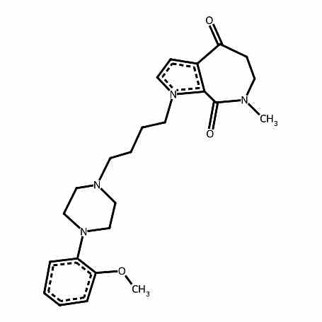 COc1ccccc1N1CCN(CCCCn2ccc3c2C(=O)N(C)CCC3=O)CC1